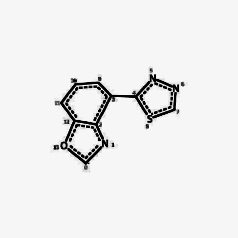 [c]1nc2c(-c3nncs3)cccc2o1